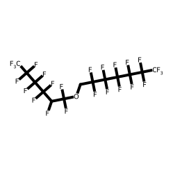 FC(C(F)(F)OCC(F)(F)C(F)(F)C(F)(F)C(F)(F)C(F)(F)C(F)(F)F)C(F)(F)C(F)(F)C(F)(F)C(F)(F)F